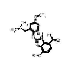 CCC(CC)c1ccc(OC)c2nc(Oc3ccc(OC(F)(F)F)cc3CN(C)C)n(C)c12